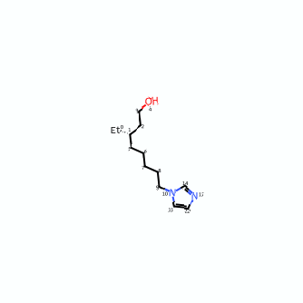 CC[C@H](CCO)CCCCCn1ccnc1